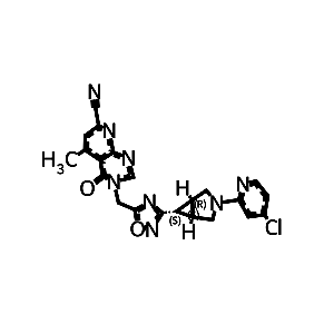 Cc1cc(C#N)nc2ncn(Cc3nc([C@@H]4[C@@H]5CN(c6cc(Cl)ccn6)C[C@@H]54)no3)c(=O)c12